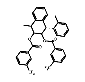 Cc1ccccc1[C@H]1c2ccccc2C(C)C(OC(=O)c2cccc(C(F)(F)F)c2)C1OC(=O)c1cccc(C(F)(F)F)c1